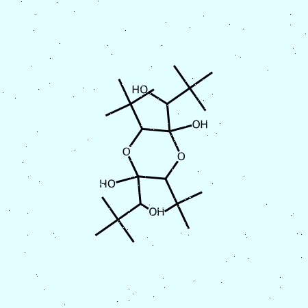 CC(C)(C)C(O)C1(O)OC(C(C)(C)C)C(O)(C(O)C(C)(C)C)OC1C(C)(C)C